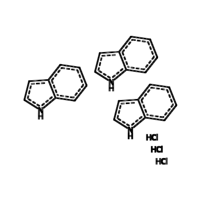 Cl.Cl.Cl.c1ccc2[nH]ccc2c1.c1ccc2[nH]ccc2c1.c1ccc2[nH]ccc2c1